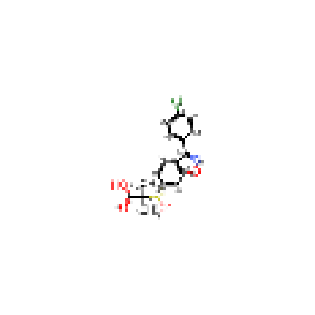 CC(C)(C(=O)O)[S+]([O-])c1ccc2c(-c3ccc(Cl)cc3)noc2c1